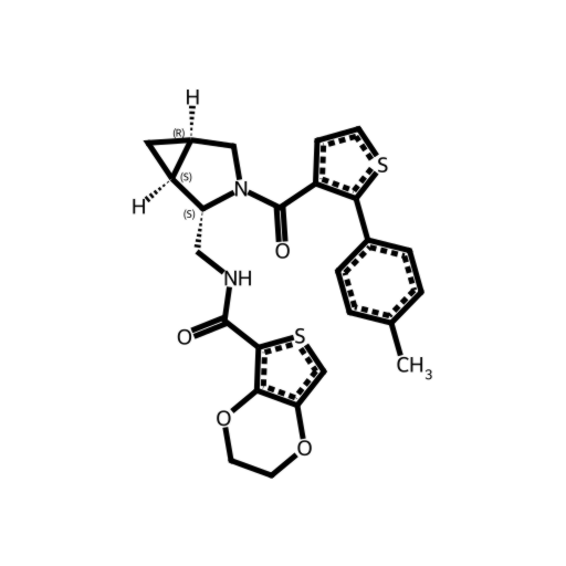 Cc1ccc(-c2sccc2C(=O)N2C[C@@H]3C[C@@H]3[C@H]2CNC(=O)c2scc3c2OCCO3)cc1